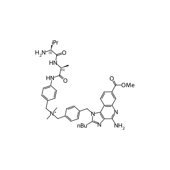 CCCCc1nc2c(N)nc3cc(C(=O)OC)ccc3c2n1Cc1ccc(C[N+](C)(C)Cc2ccc(NC(=O)[C@H](C)NC(=O)[C@@H](N)C(C)C)cc2)cc1